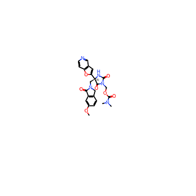 COc1ccc2c(c1)C(=O)N(C[C@@]1(c3cc4cnccc4o3)NC(=O)N(COC(=O)N(C)C)C1=O)C2